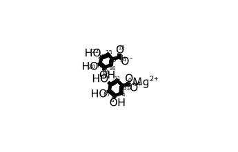 O=C([O-])c1cc(O)c(O)c(O)c1.O=C([O-])c1cc(O)c(O)c(O)c1.[Mg+2]